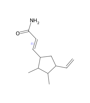 C=CC1CC(/C=C/C(N)=O)C(C)C1C